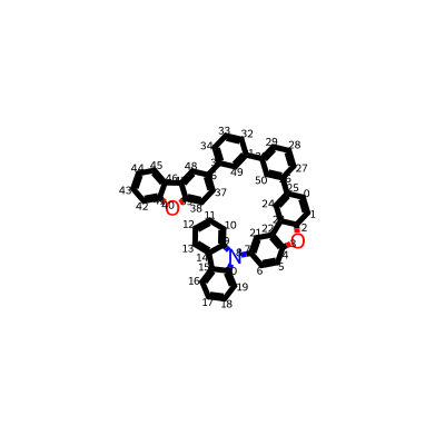 C1=CC2Oc3ccc(-n4c5ccccc5c5ccccc54)cc3C2C=C1c1cccc(-c2cccc(-c3ccc4oc5ccccc5c4c3)c2)c1